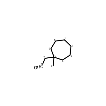 CC1(CC=O)CCCCCC1